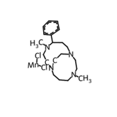 CN1CCCN2CCN(CCC(c3ccccc3)N(C)CC2)CC1.[Cl][Mn][Cl]